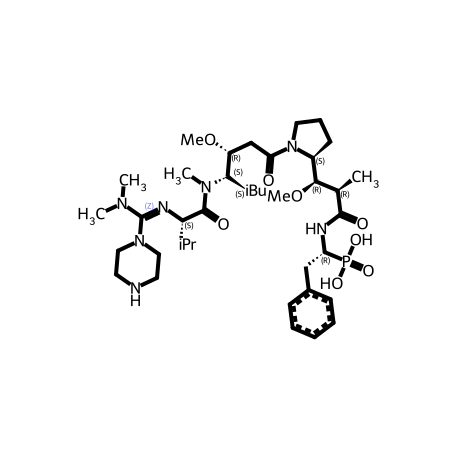 CC[C@H](C)[C@@H]([C@@H](CC(=O)N1CCC[C@H]1[C@H](OC)[C@@H](C)C(=O)N[C@@H](Cc1ccccc1)P(=O)(O)O)OC)N(C)C(=O)[C@@H](/N=C(/N(C)C)N1CCNCC1)C(C)C